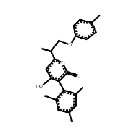 Cc1ccc(OCC(C)c2cc(O)c(-c3c(C)cc(C)cc3C)c(=O)o2)cc1